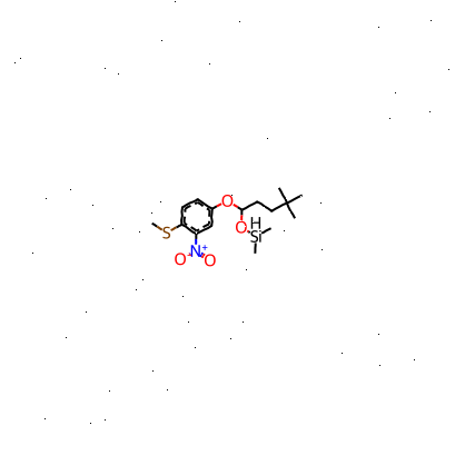 CSc1ccc(OC(CCC(C)(C)C)O[SiH](C)C)cc1[N+](=O)[O-]